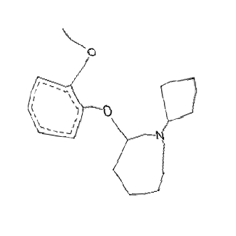 COc1ccccc1OC1CCCCN1C1CCC1